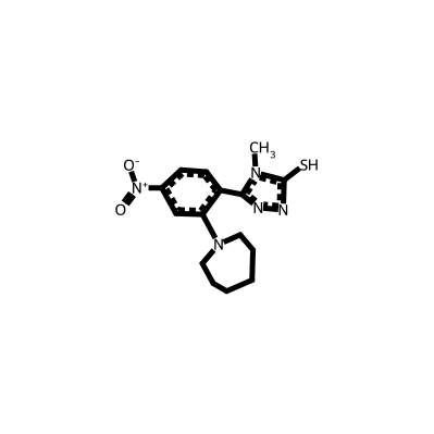 Cn1c(S)nnc1-c1ccc([N+](=O)[O-])cc1N1CCCCCC1